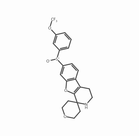 [O-][S+](c1cccc(OC(F)(F)F)c1)c1ccc2c3c(oc2c1)C1(CCOCC1)NCC3